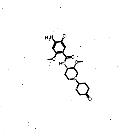 COc1cc(N)c(Cl)cc1C(=O)N[C@@H]1CCN(C2CCC(=O)CC2)C[C@@H]1OC